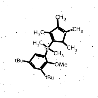 COc1c(C(C)(C)C)cc(C(C)(C)C)cc1[Si](C)(C)C1=C(C)C(C)=C(C)C1C